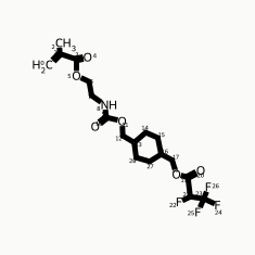 C=C(C)C(=O)OCCNC(=O)OCC1CCC(COC(=O)C(F)C(F)(F)F)CC1